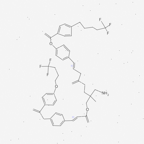 C=C(C/C=C/c1ccc(OC(=C)c2ccc(CCCCC(F)(F)F)cc2)cc1)CCC(C)(CN)COC(=C)/C=C/c1ccc(CC(=C)c2ccc(OCCCC(F)(F)F)cc2)cc1